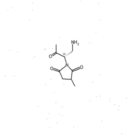 CC(=O)[C@H](CN)N1C(=O)CC(C)C1=O